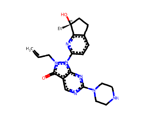 C=CCn1c(=O)c2cnc(N3CCNCC3)nc2n1-c1ccc2c(n1)[C@@](O)(CC)CC2